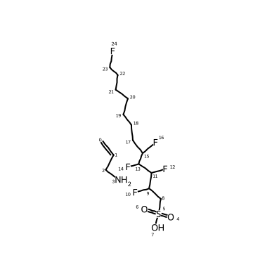 C=CCN.O=S(=O)(O)CC(F)C(F)C(F)C(F)CCCCCCCF